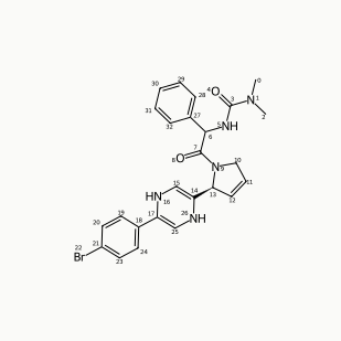 CN(C)C(=O)NC(C(=O)N1CC=C[C@H]1C1=CNC(c2ccc(Br)cc2)=CN1)c1ccccc1